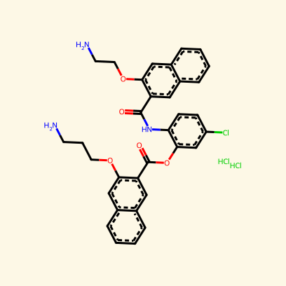 Cl.Cl.NCCCOc1cc2ccccc2cc1C(=O)Oc1cc(Cl)ccc1NC(=O)c1cc2ccccc2cc1OCCN